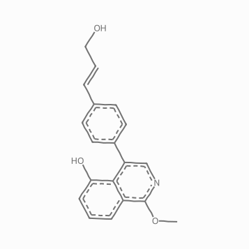 COc1ncc(-c2ccc(C=CCO)cc2)c2c(O)cccc12